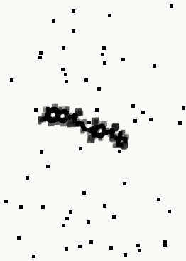 CC1(OC(=O)N2C[C@@H]3[C@@H](CCNC(=O)N4Cc5ccc(F)cc5C4)[C@@H]3C2)COC1